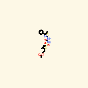 CC(=O)OCCc1sc(S(=O)(=O)NC(=O)Nc2nc(-c3ccccc3)c(C)s2)cc1C